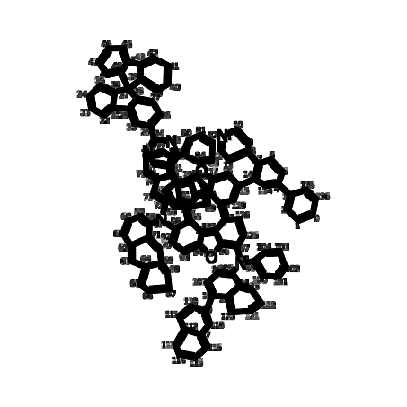 c1ccc(-c2ccc(-c3ccncc3)c(-c3cc4oc5c(-c6cnc(-c7ccc8c(c7)-c7ccccc7C87c8ccccc8-c8ccccc87)nc6)ccc6c7c(N(c8cccc9cc%10ccccc%10cc89)c8cc9cccc(-c%10ccccc%10)c9c9ccccc89)ccc8oc9c(N(c%10ccccc%10)c%10ccc(-c%11ccc%12ccccc%12c%11)c%11ccccc%10%11)ccc(c(c3)c4c56)c9c87)c2)cc1